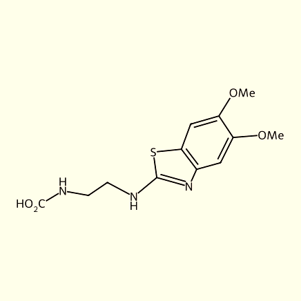 COc1cc2nc(NCCNC(=O)O)sc2cc1OC